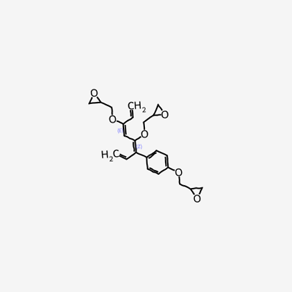 C=C/C(=C(\C=C(/C=C)OCC1CO1)OCC1CO1)c1ccc(OCC2CO2)cc1